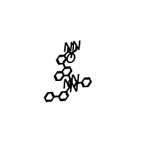 c1ccc(-c2cccc(-c3nc(-c4ccccc4)nc(-c4ccc(-c5cccc6c5oc5cncnc56)c5ccccc45)n3)c2)cc1